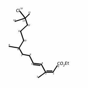 CCOC(=O)C=C(C)C=CCCC(C)CCCC(C)(C)Cl